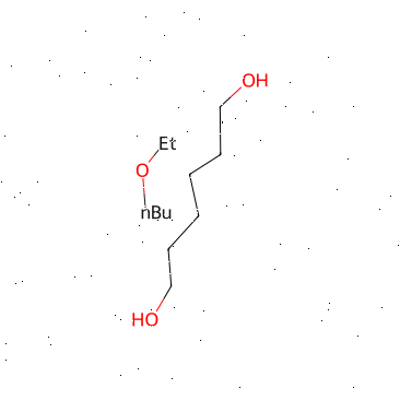 CCCCOCC.OCCCCCCO